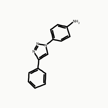 Nc1ccc(-n2cc(-c3ccccc3)nn2)cc1